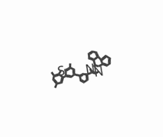 Cc1cc(C)c2sc3c(C)cc(-c4cccc(-c5cnc6c7ccccc7c7ccccc7c6n5)c4)cc3c2c1